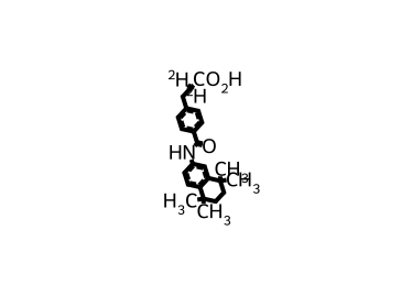 [2H]C([2H])(Cc1ccc(C(=O)Nc2ccc3c(c2)C(C)(C)CCC3(C)C)cc1)C(=O)O